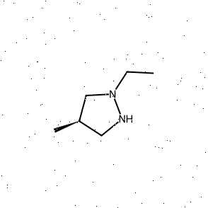 CCN1C[C@H](C)CN1